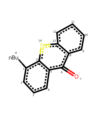 CCCCc1cccc2c(=O)c3ccccc3sc12